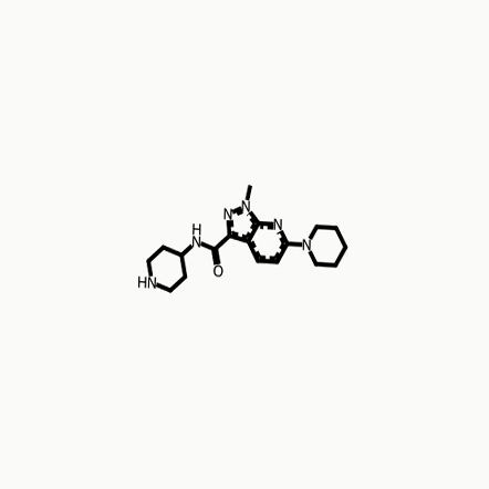 Cn1nc(C(=O)NC2CCNCC2)c2ccc(N3CCCCC3)nc21